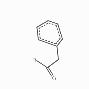 O=[C]([Ti])Cc1ccccc1